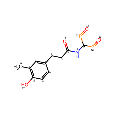 [CH2]c1cc(CCC(=O)NC(P=O)P=O)ccc1O